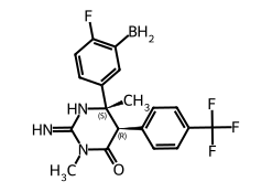 Bc1cc([C@@]2(C)NC(=N)N(C)C(=O)[C@@H]2c2ccc(C(F)(F)F)cc2)ccc1F